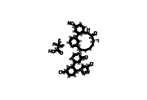 C[C@@H]1CCC[C@H](n2cnc(-c3cc(Cl)ccc3-n3cc(Cl)nn3)cc2=O)c2cc(ccn2)-c2cc(C#N)ccc2NC1=O.O=C(O)C(F)(F)F